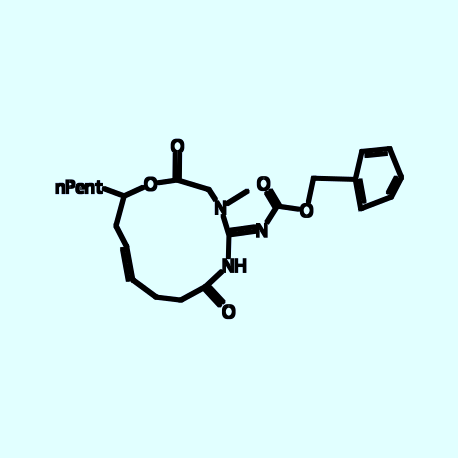 CCCCCC1C/C=C/CCC(=O)N/C(=N/C(=O)OCc2ccccc2)N(C)CC(=O)O1